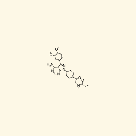 CCC(=O)N(C)CC(=O)N1CCC(n2nc(-c3ccc(OC)c(OC)c3)c3c(N)ncnc32)CC1